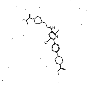 C=C(CC)C1CCN(c2ccc(-c3nc(C)c(NCCC4CCN(C(=C)C(C)C)CC4)cc3Cl)cc2)CC1